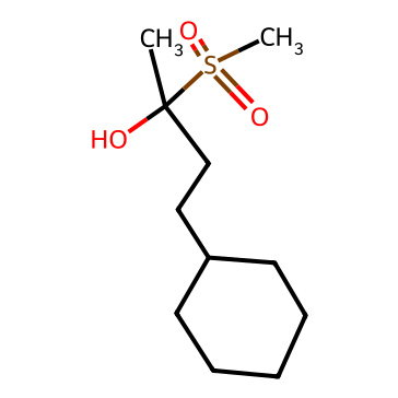 CC(O)(CCC1CCCCC1)S(C)(=O)=O